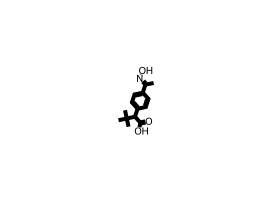 CC(=NO)c1ccc(C(C(=O)O)C(C)(C)C)cc1